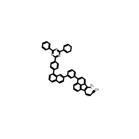 C#C/C=C\C1=C(C)c2ccc(-c3cccc(-c4ccc5cccc(-c6ccc(-c7nc(C8=CCCC=C8)nc(-c8ccccc8)n7)cc6)c5c4)c3)c3cccc1c23